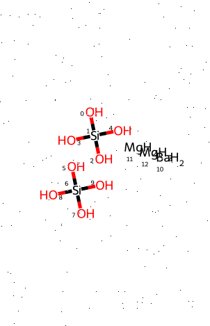 O[Si](O)(O)O.O[Si](O)(O)O.[BaH2].[MgH2].[MgH2]